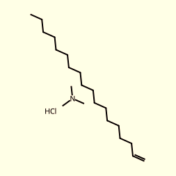 C=CCCCCCCCCCCCCCCCC.CN(C)C.Cl